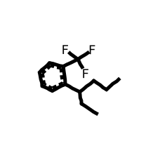 CCCC(CC)c1ccccc1C(F)(F)F